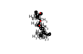 CCC1O[C@@H](O[C@H]2C(COC(=O)c3ccccc3)O[C@@H](OC3CCC4(C)C(CCC5C4CCC4(C)C5CC(=O)C4[C@H](C)C(=O)CC[C@H](C)CO[C@@H]4OC(CC)[C@H](C)[C@H](OC(=O)c5ccccc5)C4OC(=O)c4ccccc4)C3)C(C)[C@H]2C)C(C)[C@@H](C)[C@@H]1C